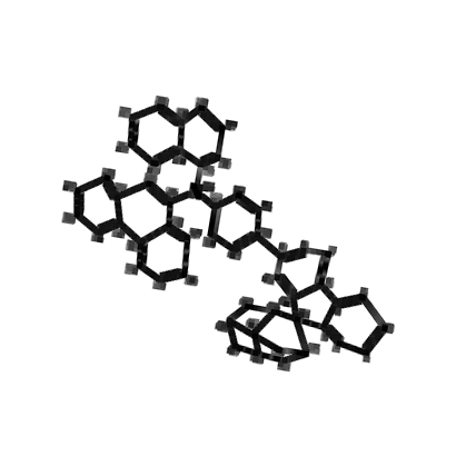 c1ccc2c(c1)-c1ccc(-c3ccc(N(c4cccc5ccccc45)c4cc5ccccc5c5ccccc45)cc3)cc1C21C2CC3CC(C2)CC1C3